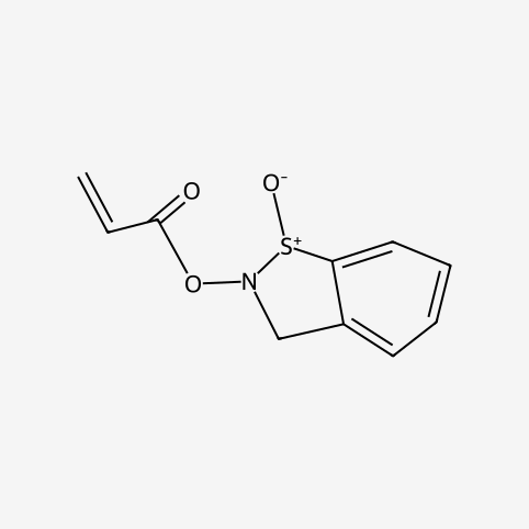 C=CC(=O)ON1Cc2ccccc2[S+]1[O-]